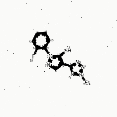 CCn1nnc(-c2cnn(-c3ccccc3F)c2S)n1